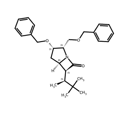 C[C@@H]([C@@H]1C(=O)N2[C@@H]1C[C@H](OCc1ccccc1)[C@@H]2COCc1ccccc1)C(C)(C)C